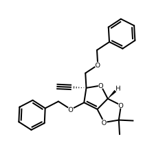 C#C[C@]1(COCc2ccccc2)O[C@@H]2OC(C)(C)OC2=C1OCc1ccccc1